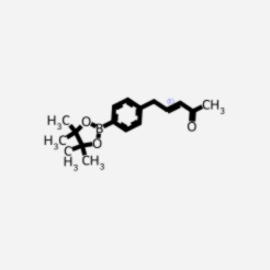 CC(=O)/C=C/Cc1ccc(B2OC(C)(C)C(C)(C)O2)cc1